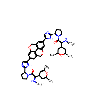 CC1CC(C(NC(=O)O)C(=O)N2CCCC2c2ncc(-c3cc4c5c(c3)OCc3cc(-c6cnc([C@H]7CCCN7C(=O)[C@@H](NC(=O)O)C7CC(C)O[C@H](C)C7)[nH]6)cc(c3-5)OC4)[nH]2)CC(C)O1